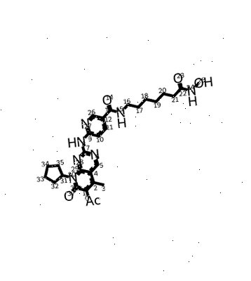 CC(=O)c1c(C)c2cnc(Nc3ccc(C(=O)NCCCCCCC(=O)NO)cn3)nc2n(C2CCCC2)c1=O